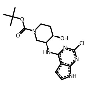 CC(C)(C)OC(=O)N1CC[C@@H](O)[C@@H](Nc2nc(Cl)nc3[nH]ccc23)C1